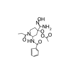 CCC(=O)N1CCC(OOC(C)=O)(C(N)=NO)CC1NC(=O)c1ccccc1